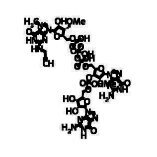 C#CCNc1nc2c(c(=O)[nH]1)[n+](C)cn2C1O[C@H](COP(=O)(O)OP(=O)(O)OP(=O)(O)OC[C@H]2O[C@@H](n3cnc4c(=O)[nH]c(N)nc43)[C@H](OC)[C@@H]2OP(=O)(O)OC[C@H]2O[C@@H](n3cnc4c(=O)[nH]c(N)nc43)[C@H](O)[C@@H]2O)[C@@H](COC)[C@H]1O